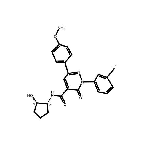 COc1ccc(-c2cc(C(=O)N[C@@H]3CCC[C@H]3O)c(=O)n(-c3cccc(F)c3)n2)cc1